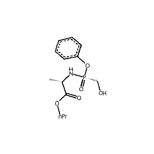 CCCOC(=O)[C@H](C)N[P@@](=O)(CO)Oc1ccccc1